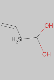 C=C[SiH2]C(O)O